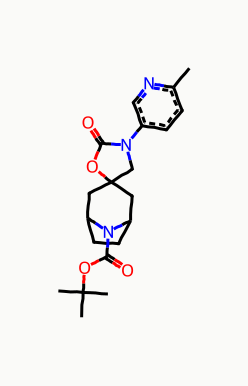 Cc1ccc(N2CC3(CC4CCC(C3)N4C(=O)OC(C)(C)C)OC2=O)cn1